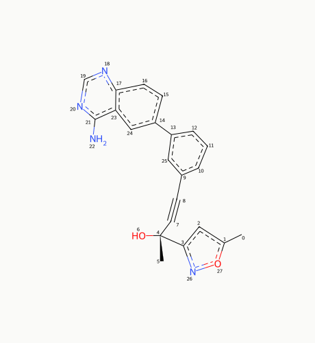 Cc1cc([C@](C)(O)C#Cc2cccc(-c3ccc4ncnc(N)c4c3)c2)no1